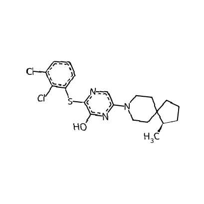 C[C@@H]1CCCC12CCN(c1cnc(Sc3cccc(Cl)c3Cl)c(O)n1)CC2